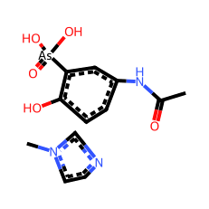 CC(=O)Nc1ccc(O)c([As](=O)(O)O)c1.Cn1ccnc1